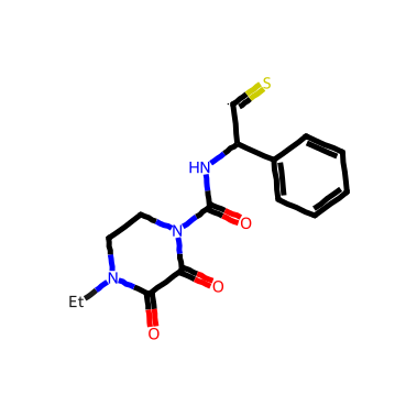 CCN1CCN(C(=O)NC([C]=S)c2ccccc2)C(=O)C1=O